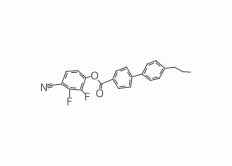 CCCc1ccc(-c2ccc(C(=O)Oc3ccc(C#N)c(F)c3F)cc2)cc1